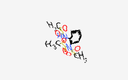 CS(=O)(=O)Nc1ccccc1N(S(C)(=O)=O)S(C)(=O)=O